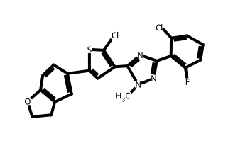 Cn1nc(-c2c(F)cccc2Cl)nc1-c1cc(-c2ccc3c(c2)CCO3)sc1Cl